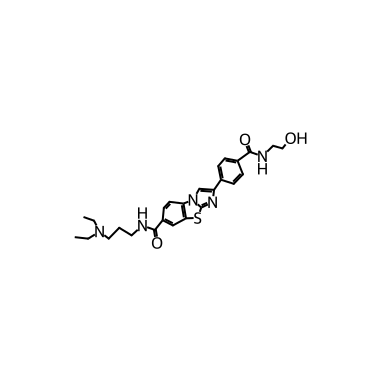 CCN(CC)CCCNC(=O)c1ccc2c(c1)sc1nc(-c3ccc(C(=O)NCCO)cc3)cn12